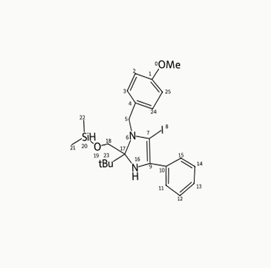 COc1ccc(CN2C(I)=C(c3ccccc3)NC2(CO[SiH](C)C)C(C)(C)C)cc1